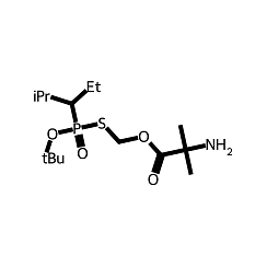 CCC(C(C)C)P(=O)(OC(C)(C)C)SCOC(=O)C(C)(C)N